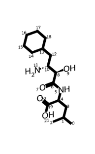 CC(C)CC(NC(=O)[C@H](O)[C@H](N)CC1CCCCC1)C(=O)O